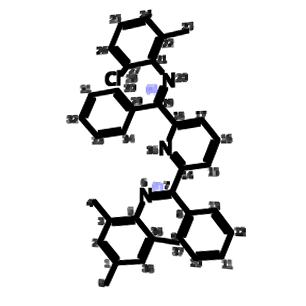 Cc1cc(C)c(/N=C(\c2ccccc2)c2cccc(/C(=N/c3c(C)cccc3Cl)c3ccccc3)n2)c(C)c1